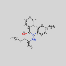 C=C(CCC(=O)O)NN(c1ccc(OC)cc1)C(O)c1ccccc1